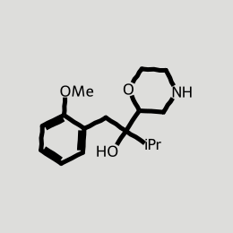 COc1ccccc1CC(O)(C(C)C)C1CNCCO1